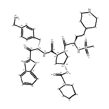 CS(=O)(=O)N[C@H](CCC1CCNCC1)C(=O)N1C[C@H](OC(=O)N2CCCCC2)C[C@H]1C(=O)N[C@@H](Cc1ccc(CN)cc1)C(=O)c1nc2ccccc2o1